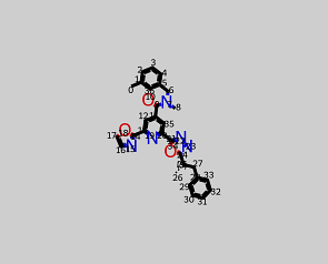 Cc1cccc(CN(C)C(=O)c2cc(-c3ncco3)nc(-c3nnc([C@@H](C)Cc4ccccc4)o3)c2)c1